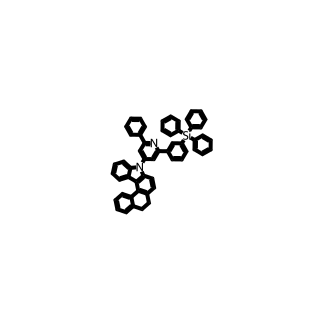 c1ccc(-c2cc(-n3c4ccccc4c4c5c(ccc43)CCc3ccccc3-5)cc(-c3cccc([Si](c4ccccc4)(c4ccccc4)c4ccccc4)c3)n2)cc1